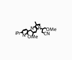 COCC(CC#N)n1cc(C)c2nc(-c3ccc(C(C)C)nc3OC)c(C)cc21